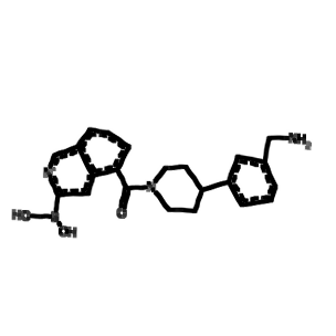 NCc1cccc(C2CCN(C(=O)c3cccc4cnc(B(O)O)cc34)CC2)c1